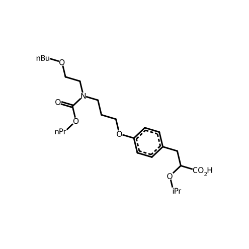 CCCCOCCN(CCCOc1ccc(CC(OC(C)C)C(=O)O)cc1)C(=O)OCCC